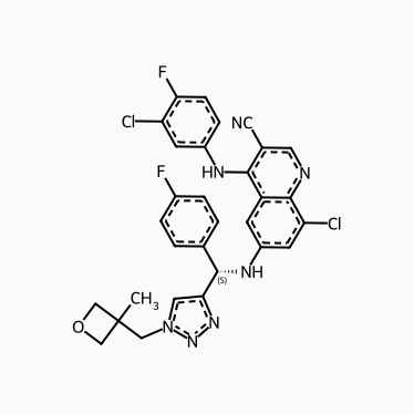 CC1(Cn2cc([C@@H](Nc3cc(Cl)c4ncc(C#N)c(Nc5ccc(F)c(Cl)c5)c4c3)c3ccc(F)cc3)nn2)COC1